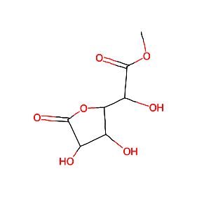 COC(=O)C(O)C1OC(=O)C(O)C1O